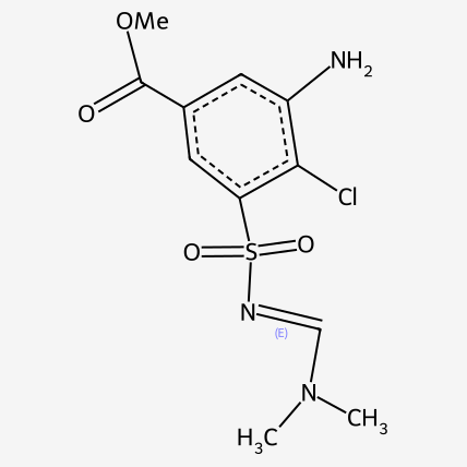 COC(=O)c1cc(N)c(Cl)c(S(=O)(=O)/N=C/N(C)C)c1